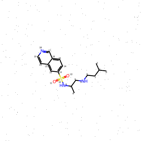 CC(C)CCNCC(C)NS(=O)(=O)c1ccc2cnccc2c1